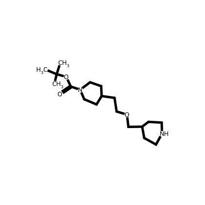 CC(C)(C)OC(=O)N1CCC(CCOCC2CCNCC2)CC1